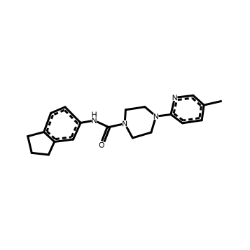 Cc1ccc(N2CCN(C(=O)Nc3ccc4c(c3)CCC4)CC2)nc1